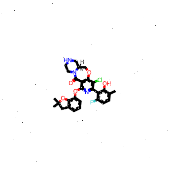 Cc1ccc(F)c(-c2nc(Oc3cccc4c3OC(C)(C)C4)c3c(c2Cl)OC[C@H]2CNCCN2C3=O)c1O